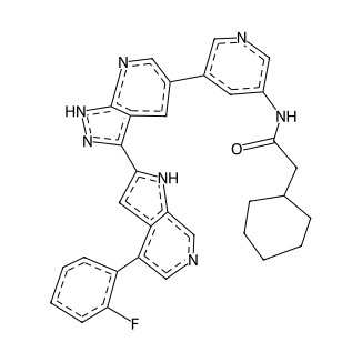 O=C(CC1CCCCC1)Nc1cncc(-c2cnc3[nH]nc(-c4cc5c(-c6ccccc6F)cncc5[nH]4)c3c2)c1